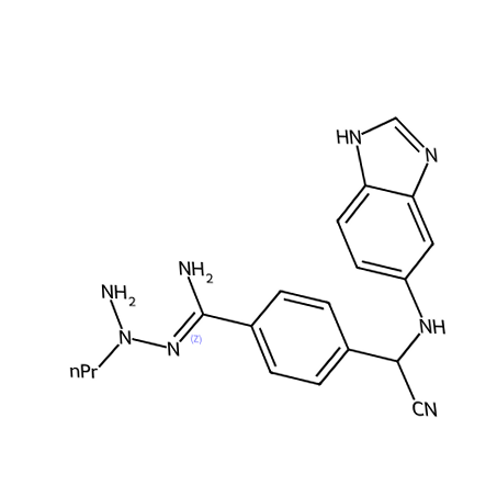 CCCN(N)/N=C(\N)c1ccc(C(C#N)Nc2ccc3[nH]cnc3c2)cc1